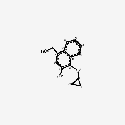 OCc1cc(Br)c(OC2CC2)c2ccccc12